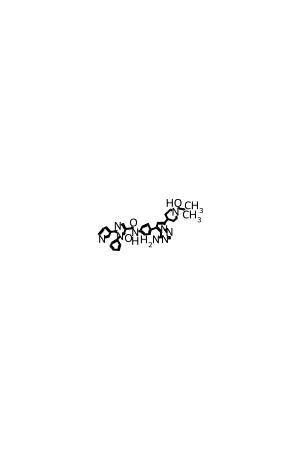 CC(C)C(O)N1CCC(c2cc(-c3ccc(NC(=O)c4cnc(-c5cccnc5)n(-c5ccccc5)c4=O)cc3)c3c(N)ncnn23)CC1